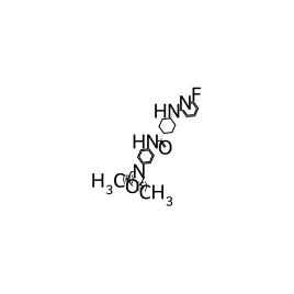 C[C@@H]1CN(c2ccc(NC(=O)[C@H]3CC[C@@H](Nc4cccc(F)n4)CC3)cc2)C[C@H](C)O1